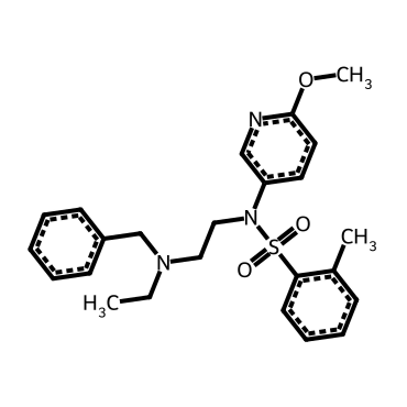 CCN(CCN(c1ccc(OC)nc1)S(=O)(=O)c1ccccc1C)Cc1ccccc1